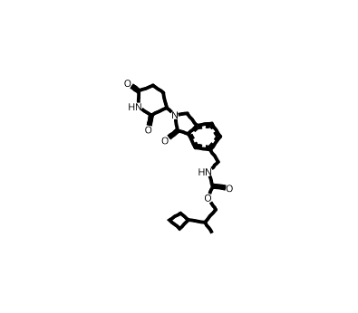 CC(COC(=O)NCc1ccc2c(c1)C(=O)N(C1CCC(=O)NC1=O)C2)C1CCC1